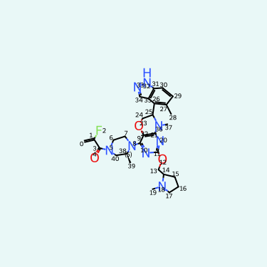 C=C(F)C(=O)N1CCN(c2nc(OCC3CCCN3C)nc3c2OCC(c2c(C)ccc4[nH]ncc24)N3C)[C@@H](C)C1